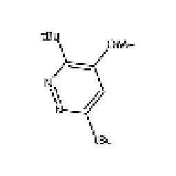 COc1cc(C(C)(C)C)nnc1C(C)(C)C